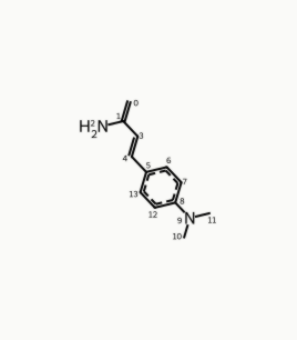 C=C(N)C=Cc1ccc(N(C)C)cc1